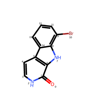 O=c1[nH]ccc2c1[nH]c1c(Br)cccc12